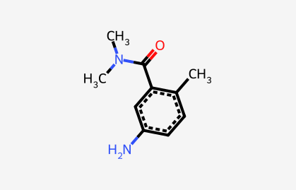 Cc1ccc(N)cc1C(=O)N(C)C